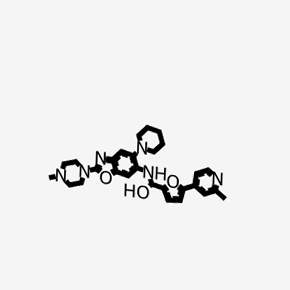 Cc1cc(-c2ccc(C(O)Nc3cc4oc(N5CCN(C)CC5)nc4cc3N3CCCCC3)o2)ccn1